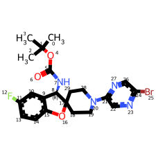 CC(C)(C)OC(=O)N[C@@H]1c2cc(F)ccc2OC12CCN(c1cnc(Br)cn1)CC2